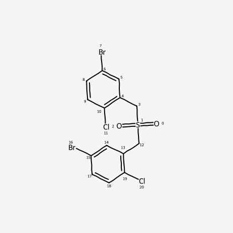 O=S(=O)(Cc1cc(Br)ccc1Cl)Cc1cc(Br)ccc1Cl